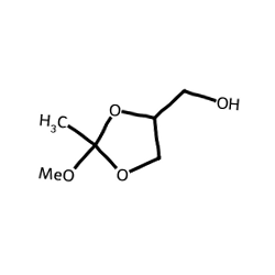 COC1(C)OCC(CO)O1